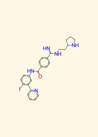 N=C(NCCC1CCCN1)c1ccc(C(=O)Nc2ccc(I)c(-c3ccccn3)c2)cc1